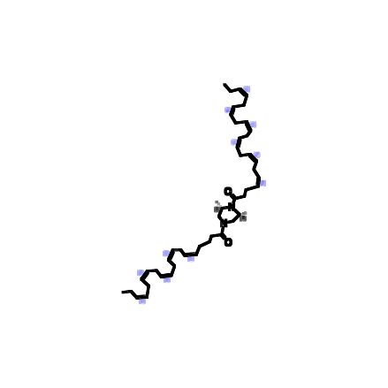 CC/C=C\C/C=C\C/C=C\C/C=C\C/C=C\C/C=C\CCC(=O)N1[C@H](C)CN(C(=O)CCC/C=C\C/C=C\C/C=C\C/C=C\C/C=C\CC)C[C@@H]1C